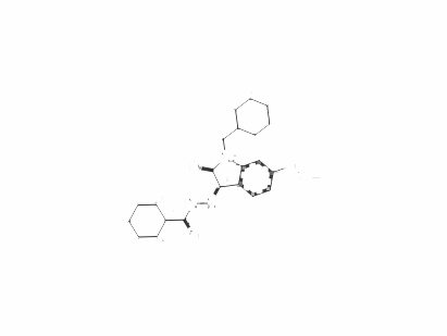 COc1ccc2c(c1)N(CC1CCCCC1)C(=O)/C2=N\NC(=O)C1CCCCC1